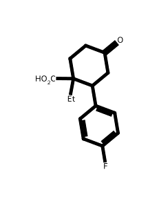 CCC1(C(=O)O)CCC(=O)CC1c1ccc(F)cc1